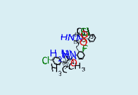 CC(C)[C@H](c1ccc(Cl)cc1)[C@H](N)C(=O)Nc1cccc(F)c1CC[C@H]1CNC[C@H](C)N1S(=O)(=O)c1ccccc1Cl